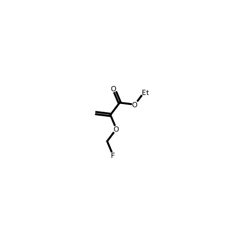 C=C(OCF)C(=O)OCC